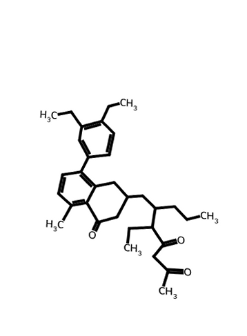 CCCC(CC1CC(=O)c2c(C)ccc(-c3ccc(CC)c(CC)c3)c2C1)C(CC)C(=O)CC(C)=O